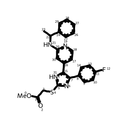 COC(=O)CSc1nc(-c2ccc(F)cc2)c(-c2ccnc(NC(C)c3ccccc3)c2)[nH]1